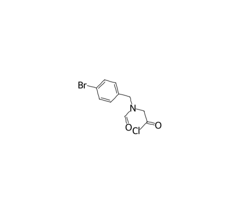 O=CN(CC(=O)Cl)Cc1ccc(Br)cc1